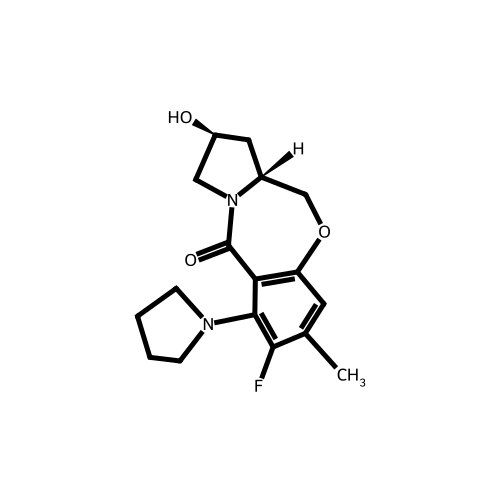 Cc1cc2c(c(N3CCCC3)c1F)C(=O)N1C[C@@H](O)C[C@@H]1CO2